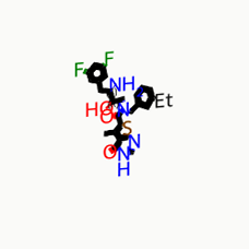 CCc1cccc(CN(C[C@@H](O)[C@@H](N)Cc2cc(F)cc(F)c2)C(=O)c2sc3nc[nH]c(=O)c3c2C)c1